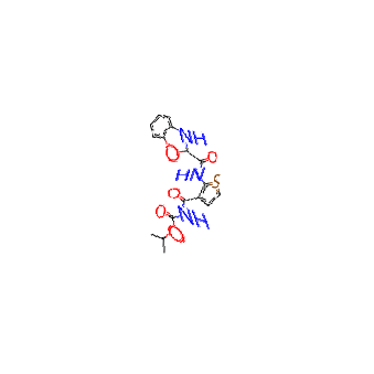 CC(C)OC(=O)NC(=O)c1ccsc1NC(=O)C1Nc2ccccc2O1